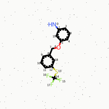 [NH]c1cccc(OCc2cccc(SC(F)(F)F)c2)c1